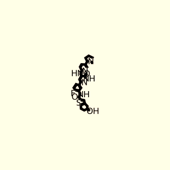 CN1CCCC1c1ccc(Nc2cc(-c3ccc(F)c(NC(=O)c4cc5c(s4)CCC(O)C5)c3)n[nH]c2=O)nc1